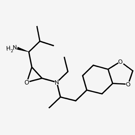 CCN(C(C)CC1CCC2OCOC2C1)C1OC1[C@@H](N)C(C)C